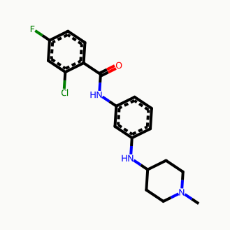 CN1CCC(Nc2cccc(NC(=O)c3ccc(F)cc3Cl)c2)CC1